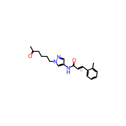 CC(=O)CCCCn1cc(NC(=O)/C=C/c2ccccc2C)cn1